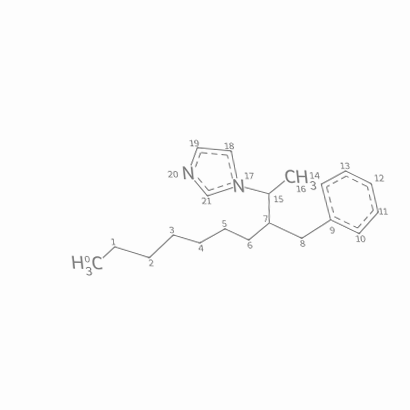 CCCCCCCC(Cc1ccccc1)C(C)n1ccnc1